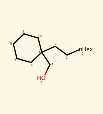 CCCCCCCCC1(CO)CCCCC1